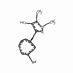 Cc1c(O)c(-c2cccc(Br)c2)nn1C